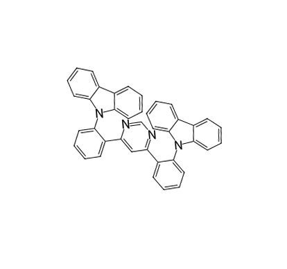 c1ccc(-n2c3ccccc3c3ccccc32)c(-c2cc(-c3ccccc3-n3c4ccccc4c4ccccc43)ncn2)c1